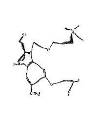 CS(C)(C)CCOCn1c(CCl)nc2cc(C#N)c(OCC(F)F)cc21